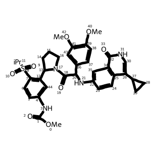 COC(=O)Nc1ccc(S(=O)(=O)C(C)C)c(C2CCCN2C(=O)C(Nc2ccc3c(C4CC4)c[nH]c(=O)c3c2)c2ccc(OC)c(OC)c2)c1